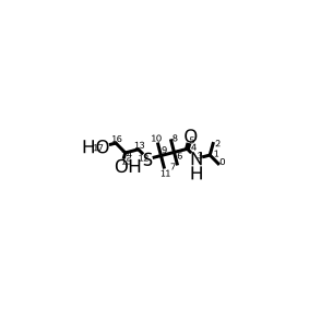 CC(C)NC(=O)C(C)(C)C(C)(C)SCC(O)CO